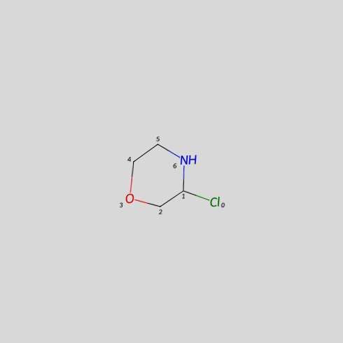 ClC1COCCN1